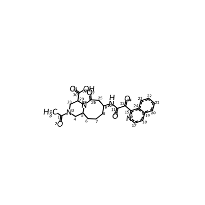 CC(=O)N1CC2CCCC(NC(=O)C(=O)c3nccc4ccccc34)CC(=O)N2C(C(=O)O)C1